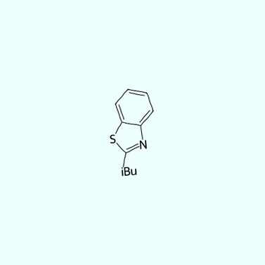 CCC(C)c1nc2ccccc2s1